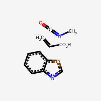 C=CC(=O)O.CN=C=O.c1ccc2scnc2c1